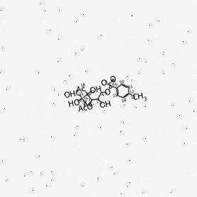 CC(=O)OC(C(O)COS(=O)(=O)c1ccc(C)cc1)C(O)(C(C)=O)C(O)(C=O)C(C)=O